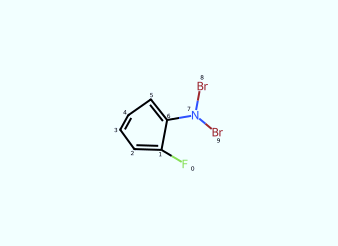 Fc1ccccc1N(Br)Br